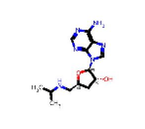 CC(C)NC[C@@H]1C[C@@H](O)[C@H](n2cnc3c(N)ncnc32)O1